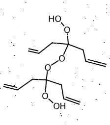 C=CCC(CC=C)(OO)OOC(CC=C)(CC=C)OO